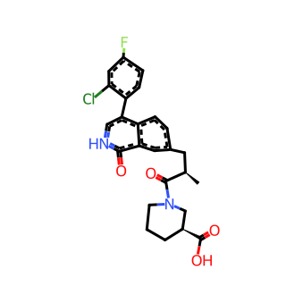 C[C@H](Cc1ccc2c(-c3ccc(F)cc3Cl)c[nH]c(=O)c2c1)C(=O)N1CCC[C@H](C(=O)O)C1